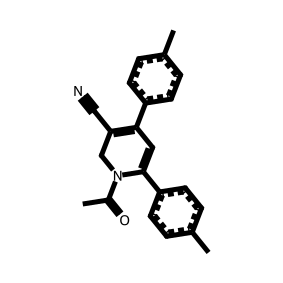 CC(=O)N1CC(C#N)=C(c2ccc(C)cc2)C=C1c1ccc(C)cc1